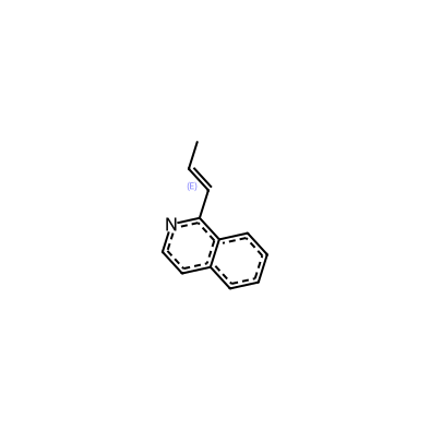 C/C=C/c1nccc2ccccc12